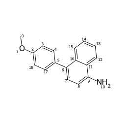 COc1ccc(-c2ccc(N)c3ccccc23)cc1